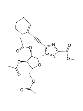 COC(=O)c1nc(C#CC2=CCCCC2)n([C@@H]2O[C@H](COC(C)=O)[C@@H](OC(C)=O)[C@H]2OC(C)=O)n1